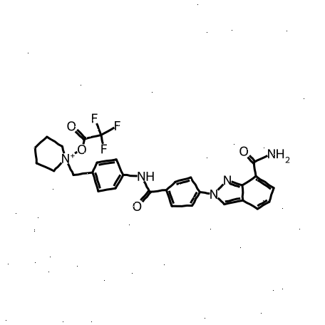 NC(=O)c1cccc2cn(-c3ccc(C(=O)Nc4ccc(C[N+]5(OC(=O)C(F)(F)F)CCCCC5)cc4)cc3)nc12